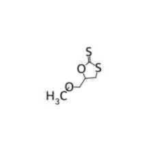 COCC1CSC(=S)O1